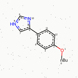 CCCCOc1ccc(-c2c[nH][c]n2)cc1